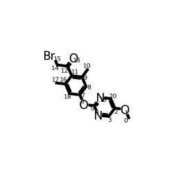 COc1cnc(Oc2cc(C)c(C(=O)CBr)c(C)c2)nc1